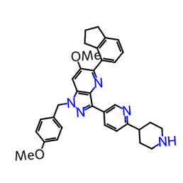 COc1ccc(Cn2nc(-c3ccc(C4CCNCC4)nc3)c3nc(-c4cccc5c4CCC5)c(OC)cc32)cc1